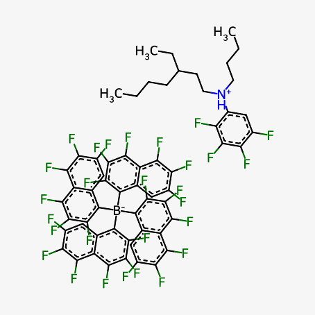 CCCCC(CC)CC[NH+](CCCC)c1cc(F)c(F)c(F)c1F.Fc1cc2c([B-](c3c(F)c(F)c(F)c4c(F)c(F)c(F)cc34)(c3c(F)c(F)c(F)c4c(F)c(F)c(F)cc34)c3c(F)c(F)c(F)c4c(F)c(F)c(F)cc34)c(F)c(F)c(F)c2c(F)c1F